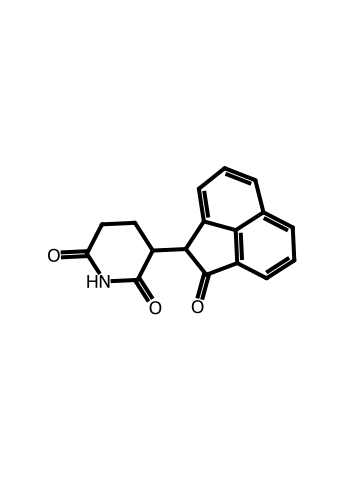 O=C1CCC(C2C(=O)c3cccc4cccc2c34)C(=O)N1